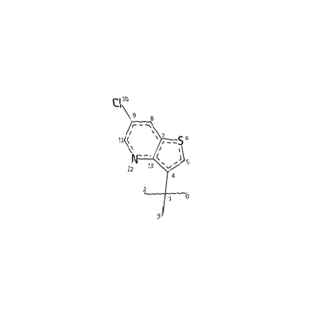 CC(C)(C)c1csc2cc(Cl)cnc12